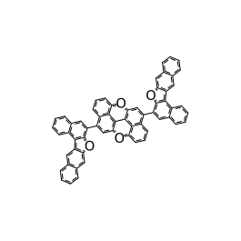 c1ccc2cc3c(cc2c1)oc1c(-c2cc4oc5cccc6c(-c7cc8ccccc8c8c7oc7cc9ccccc9cc78)cc7oc8cccc2c8c4-c7c56)cc2ccccc2c13